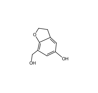 OCc1cc(O)cc2c1OCC2